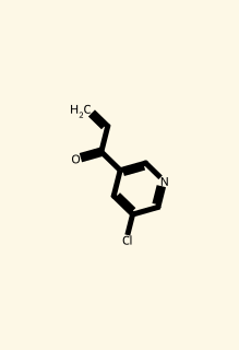 C=CC(=O)c1cncc(Cl)c1